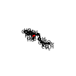 C[C@]12C=CC(=O)C=C1[C@@H](F)C[C@H]1[C@@H]3C[C@H]4O[C@@H](c5ccn(Cc6cccc(NC(=O)[C@H](CCC(=O)O)NC(=O)CNC(=O)CBr)c6)c5)O[C@@]4(C(=O)COP(=O)(O)O)[C@@]3(C)C[C@H](O)[C@@]12F